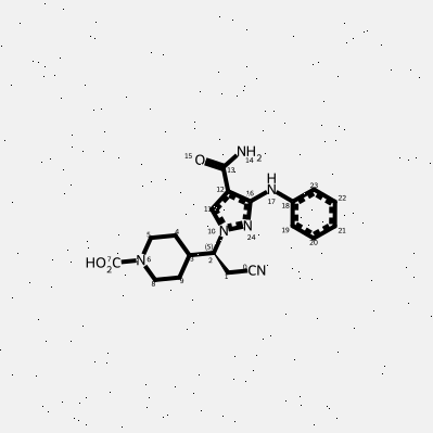 N#CC[C@@H](C1CCN(C(=O)O)CC1)n1cc(C(N)=O)c(Nc2ccccc2)n1